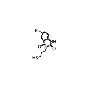 O=c1[nH]c2ccc(Br)cc2c(=O)n1CCCS